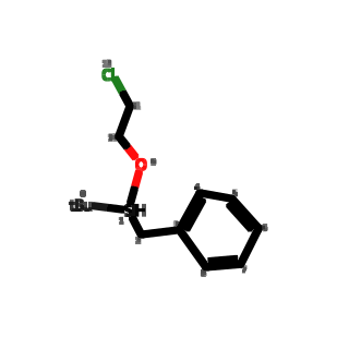 CC(C)(C)[SiH](Cc1ccccc1)OCCCl